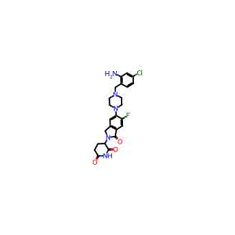 Nc1cc(Cl)ccc1CN1CCN(c2cc3c(cc2F)C(=O)N(C2CCC(=O)NC2=O)C3)CC1